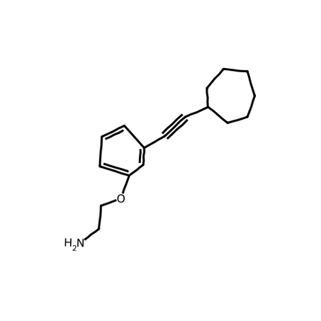 NCCOc1cccc(C#CC2CCCCCC2)c1